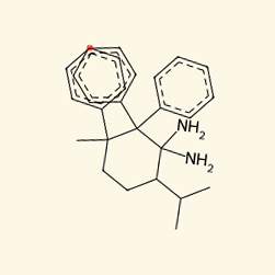 CC(C)C1CCC(C)(c2ccccc2)C(c2ccccc2)(c2ccccc2)C1(N)N